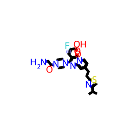 CC(C)c1csc(CCc2ccn3c(=O)c(/C=C(/F)C(=O)O)c(N4CCN(C(=O)CN)CC4)nc3c2)n1